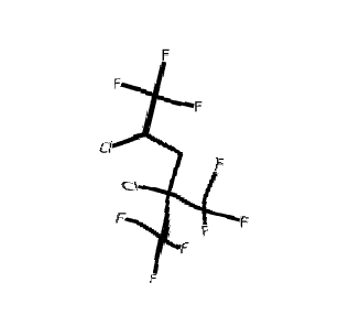 FC(F)(F)C(Cl)CC(Cl)(C(F)(F)F)C(F)(F)F